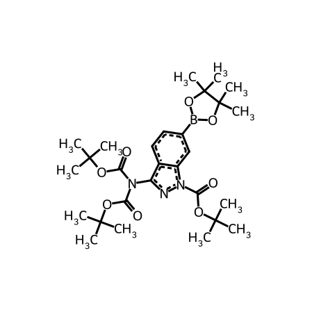 CC(C)(C)OC(=O)N(C(=O)OC(C)(C)C)c1nn(C(=O)OC(C)(C)C)c2cc(B3OC(C)(C)C(C)(C)O3)ccc12